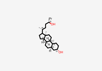 CC(C)[C@H](O)CC[C@@H](C)C1CC[C@H]2[C@@H]3CC[C@@H]4C[C@@H](O)CC[C@]4(C)[C@H]3CC[C@]12C